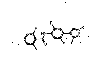 Cc1cccc(F)c1C(=O)Nc1cc(F)c(-c2cn(C)nc2C)cc1F